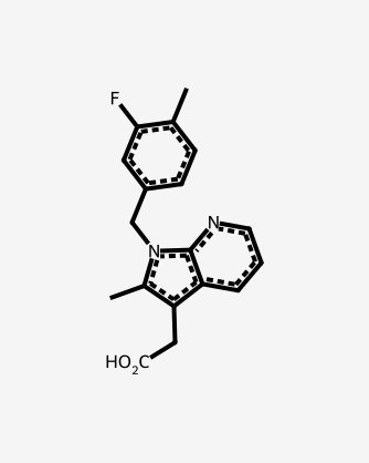 Cc1ccc(Cn2c(C)c(CC(=O)O)c3cccnc32)cc1F